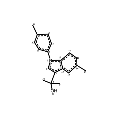 Cc1ccc(-n2cc(C(C)(C)O)c3cc(C)ccc32)cc1